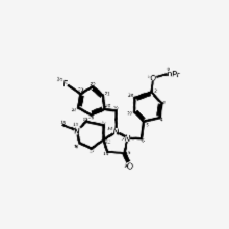 CCCOc1ccc(CN2C(=O)CC3(CCN(C)CC3)N2Cc2ccc(F)cc2)cc1